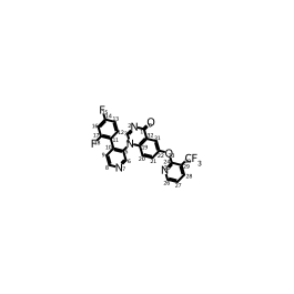 O=c1ncn(-c2cnccc2-c2ccc(F)cc2F)c2ccc(Oc3ncccc3C(F)(F)F)cc12